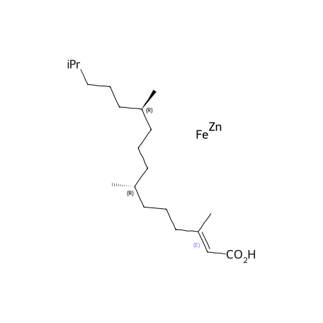 C/C(=C\C(=O)O)CCC[C@H](C)CCC[C@H](C)CCCC(C)C.[Fe].[Zn]